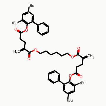 C=C(CCC(=O)Oc1c(-c2ccccc2)cc(C(C)(C)C)cc1C(C)(C)C)C(=O)OCCCCCCOC(=O)C(=C)CCC(=O)Oc1c(-c2ccccc2)cc(C(C)(C)C)cc1C(C)(C)C